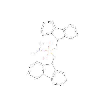 CC(C)N(C(C)C)P(O)(O)(CC1c2ccccc2-c2ccccc21)CC1c2ccccc2-c2ccccc21